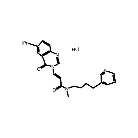 CC(C)c1ccc2ncn(/C=C/C(=O)N(C)CCCCc3cccnc3)c(=O)c2c1.Cl